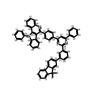 CC1(C)c2ccccc2-c2ccc(-c3cccc(-c4nc(-c5ccccc5)cc(-c5ccc(-c6nc7ccccc7c7c6c6ccccc6n7-c6ccccc6)cc5)n4)c3)cc21